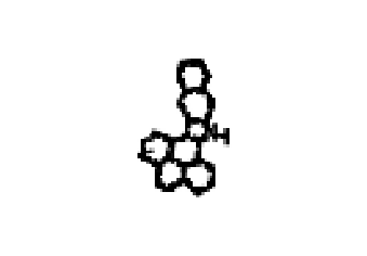 In1c2cc3ccccc3cc2c2c3cccc4ccc5cccc(c5c43)c21